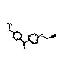 C#CCOc1ccc(C(=O)c2ccc(COC)cc2)cc1